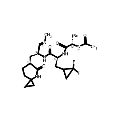 C/N=C/[C@H](C[C@@H]1CCC2(CC2)NC1=O)NC(=O)[C@H](CC1CC1(F)F)NC(=O)[C@@H](NC(=O)C(F)(F)F)C(C)(C)C